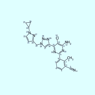 Cc1c(C#N)cccc1-c1nc(N)c(Cl)c(-c2cn(Cc3ccn(C4CC4)n3)nn2)n1